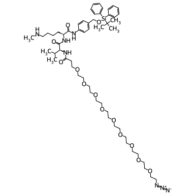 CNCCCC[C@H](NC(=O)[C@@H](NC(=O)CCOCCOCCOCCOCCOCCOCCOCCOCCOCCN=[N+]=[N-])C(C)C)C(=O)Nc1ccc(CO[Si](c2ccccc2)(c2ccccc2)C(C)(C)C)cc1